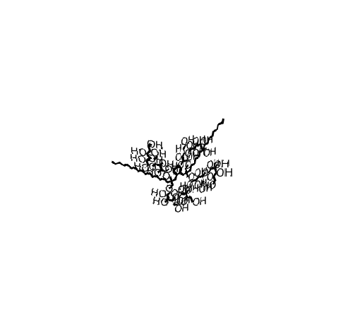 CCCCCCCCCCCCCCCCC(CO[C@H](O)/C(O)=C(/O)[C@@H](CCO)O[C@H](O)/C(O)=C(\O)[C@H](O)CCO)(CO[C@H](O)/C(O)=C(\O)[C@@H](CCO)O[C@@H]1OC(CO)[C@@H](O)C(O)C1O)Cc1ccccc1CC(CCCCCCCCCCCCCCCC)(CO[C@H](O)/C(O)=C(/O)[C@@H](CCO)O[C@H](O)/C(O)=C(/O)[C@H](O)CCO)CO[C@H](O)/C(O)=C(\O)[C@@H](CCO)O[C@H](O)/C(O)=C(\O)[C@H](O)CCO